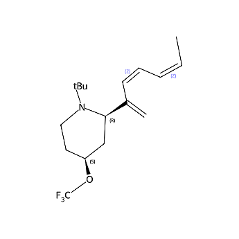 C=C(/C=C\C=C/C)[C@H]1C[C@@H](OC(F)(F)F)CCN1C(C)(C)C